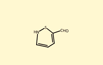 O=CC1=CC=CNS1